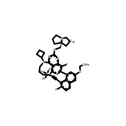 COCOc1cc(-c2nc3c4c(nc(OC[C@@]56CCCN5C[C@H](F)C6)nc4c2F)N(C2CCC2)CCCO3)c2c(C#C[Si](C(C)C)(C(C)C)C(C)C)c(F)ccc2c1